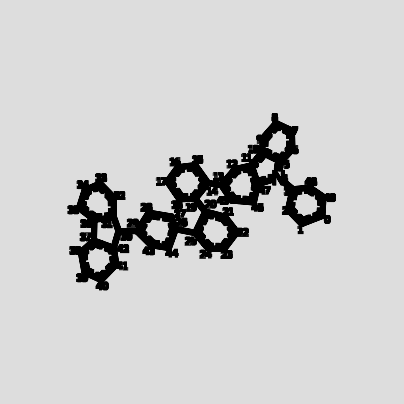 c1ccc(-n2c3ccccc3c3cc(-c4ccccc4-c4ccccc4-c4ccc(C5c6ccccc6-c6ccccc65)cc4)ccc32)cc1